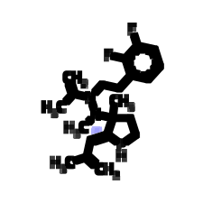 C=C(C)/C=C1\PCCC1(C)N(C)N(CCc1cccc(F)c1F)C(=C)C